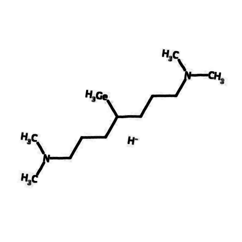 CN(C)CCC[CH]([GeH3])CCCN(C)C.[H-]